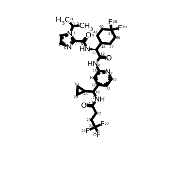 CC(C)n1ccnc1C(=O)N[C@H](C(=O)Nc1cc(C(NC(=O)CCC(F)(F)F)C2CC2)ccn1)C1CCC(F)(F)CC1